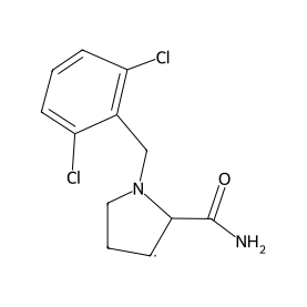 NC(=O)C1[CH]CCN1Cc1c(Cl)cccc1Cl